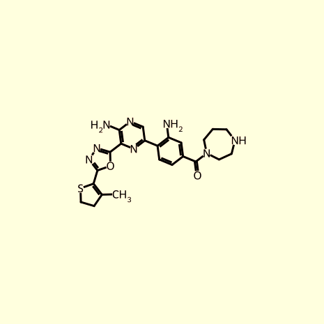 CC1=C(c2nnc(-c3nc(-c4ccc(C(=O)N5CCCNCC5)cc4N)cnc3N)o2)SCC1